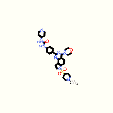 CN1CCC(S(=O)(=O)n2ccc3c4nc(-c5ccc(NC(=O)Nc6ccncc6)cc5)nc(N5CCOCC5)c4ccc32)CC1